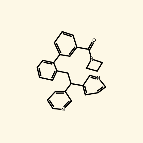 O=C(c1cccc(-c2ccccc2CC(c2cccnc2)c2cccnc2)c1)N1CCC1